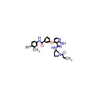 C=CC(=O)N1CCC[C@@H](Nc2n[nH]c3nccc(Oc4cccc(C(=O)Nc5ccc(C(C)C)c(C)c5)c4)c23)C1